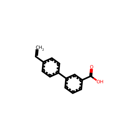 C=Cc1ccc(-c2cccc(C(=O)O)c2)cc1